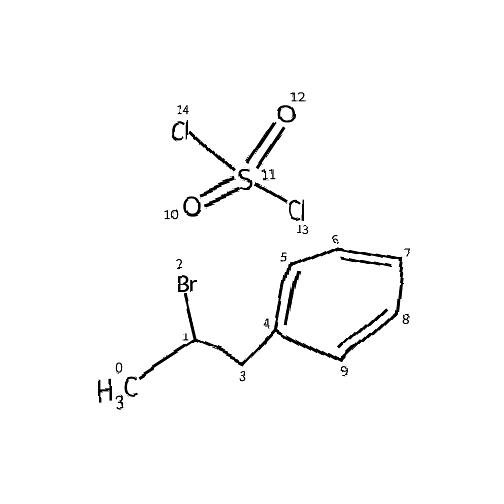 CC(Br)Cc1ccccc1.O=S(=O)(Cl)Cl